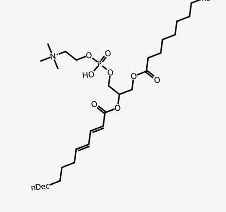 CCCCCCCCCCCCC/C=C/C=C/C(=O)OC(COC(=O)CCCCCCCCCCCCCCCCC)COP(=O)(O)OCC[N+](C)(C)C